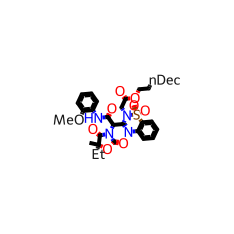 CCCCCCCCCCCCOC(=O)CN1C(C(C(=O)Nc2ccccc2OC)N2C(=O)OC(C)(CC)C2=O)=Nc2ccccc2S1(=O)=O